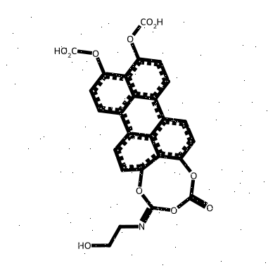 O=C(O)Oc1ccc2c3ccc4c5c(ccc(c6ccc(OC(=O)O)c1c26)c53)OC(=NCCO)OC(=O)O4